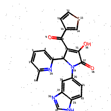 Cc1cccc(C2C(C(=O)c3ccsc3)=C(O)C(=O)N2c2ccc3[nH]cnc3c2)n1